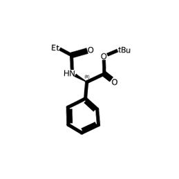 CCC(=O)N[C@@H](C(=O)OC(C)(C)C)c1ccccc1